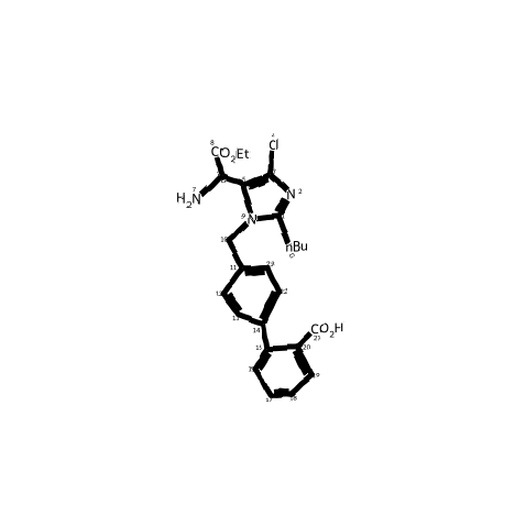 CCCCc1nc(Cl)c(C(N)C(=O)OCC)n1Cc1ccc(-c2ccccc2C(=O)O)cc1